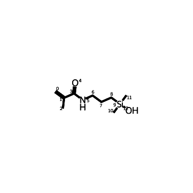 C=C(C)C(=O)NCCC[Si](C)(C)O